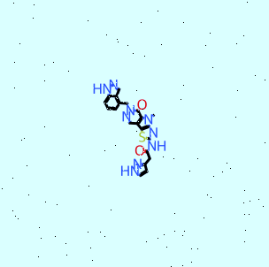 Cn1c2nc(NC(=O)Cc3cc[nH]n3)sc2c2cnn(Cc3cccc4[nH]ncc34)c(=O)c21